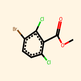 COC(=O)c1c(Cl)ccc(Br)c1Cl